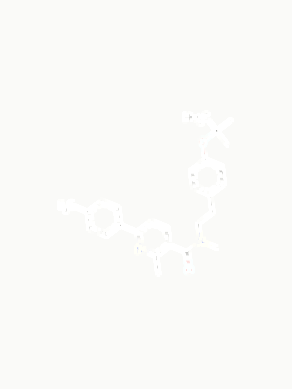 Cc1nc(-c2ccc(C(F)(F)F)cc2)ccc1C(=O)N(C)CCc1ccc(OC(C)(C)C(=O)O)cc1